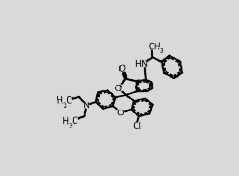 CCN(CC)c1ccc2c(c1)Oc1c(Cl)cccc1C21OC(=O)c2c(NC(C)c3ccccc3)cccc21